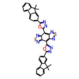 CC1(C)c2ccccc2-c2ccc(-c3nnc(-c4c5c(c(-c6nnc(-c7ccc8c(c7)C(C)(C)c7ccccc7-8)o6)c6nsnc46)N=S=N5)o3)cc21